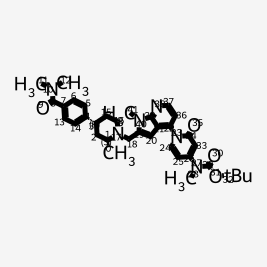 C[C@H]1C[C@H](c2ccc(C(=O)N(C)C)cc2)CCN1Cc1cc2c(-n3ccc(N(C)C(=O)OC(C)(C)C)cc3=O)ccnc2n1C